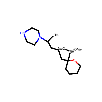 CO[SiH](OC)C1(CCCC([SiH3])N2CCNCC2)CCCCO1